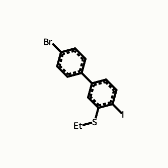 CCSc1cc(-c2ccc(Br)cc2)ccc1I